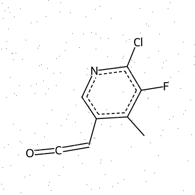 Cc1c(C=C=O)cnc(Cl)c1F